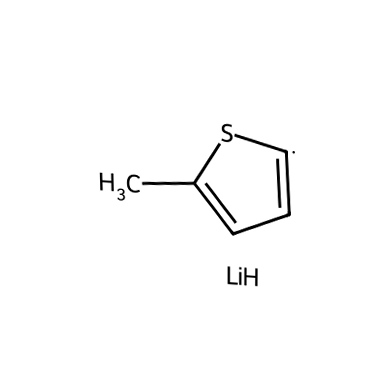 Cc1cc[c]s1.[LiH]